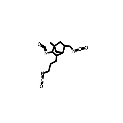 CC12CC(CN=C=O)C(C1)C(CCCN=C=O)C2N=C=O